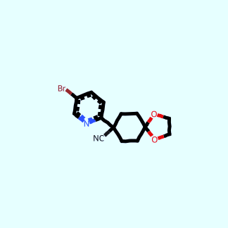 N#CC1(c2ccc(Br)cn2)CCC2(CC1)OCCO2